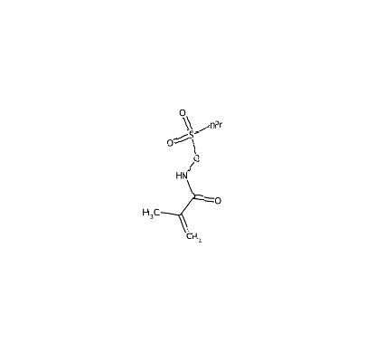 C=C(C)C(=O)NOS(=O)(=O)CCC